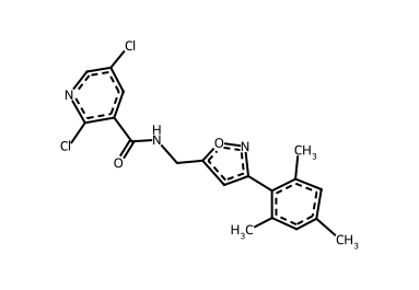 Cc1cc(C)c(-c2cc(CNC(=O)c3cc(Cl)cnc3Cl)on2)c(C)c1